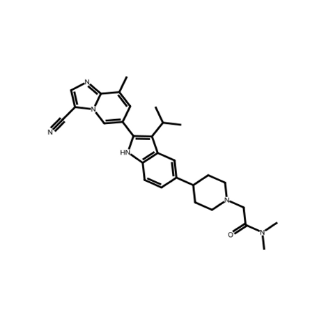 Cc1cc(-c2[nH]c3ccc(C4CCN(CC(=O)N(C)C)CC4)cc3c2C(C)C)cn2c(C#N)cnc12